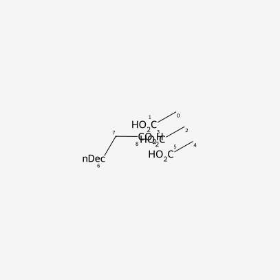 CC(=O)O.CC(=O)O.CC(=O)O.CCCCCCCCCCCC(=O)O